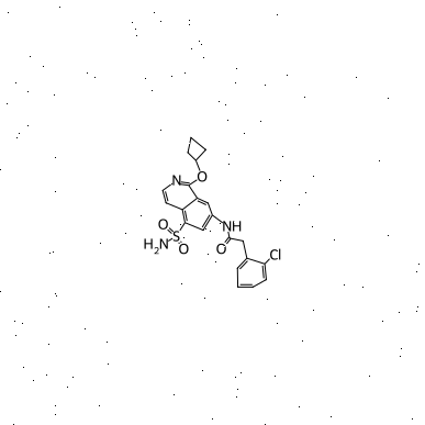 NS(=O)(=O)c1cc(NC(=O)Cc2ccccc2Cl)cc2c(OC3CCC3)nccc12